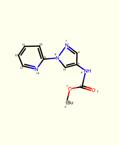 CC(C)(C)OC(=O)Nc1cnn(-c2ccccn2)c1